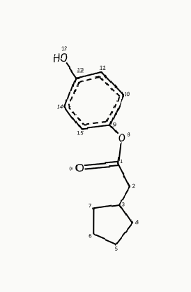 O=C(CC1CCCC1)Oc1ccc(O)cc1